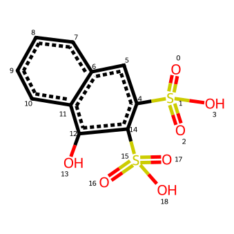 O=S(=O)(O)c1cc2ccccc2c(O)c1S(=O)(=O)O